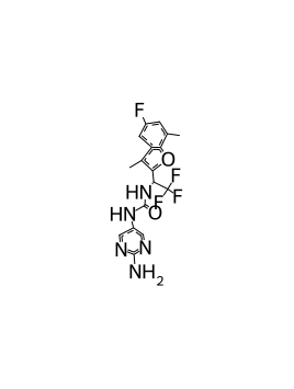 Cc1c([C@@H](NC(=O)Nc2cnc(N)nc2)C(F)(F)F)oc2c(C)cc(F)cc12